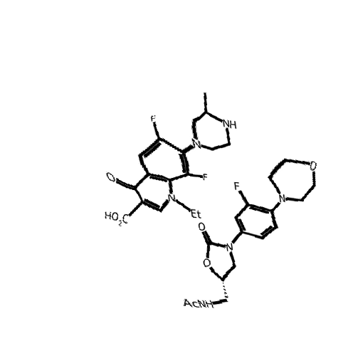 CC(=O)NC[C@H]1CN(c2ccc(N3CCOCC3)c(F)c2)C(=O)O1.CCn1cc(C(=O)O)c(=O)c2cc(F)c(N3CCNC(C)C3)c(F)c21